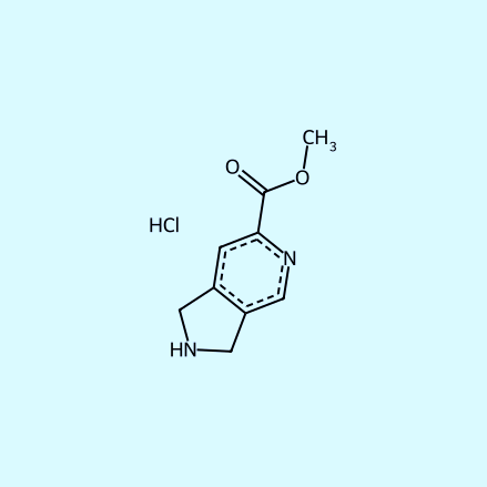 COC(=O)c1cc2c(cn1)CNC2.Cl